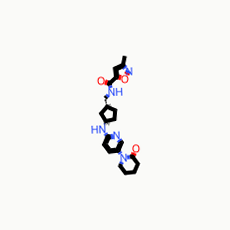 Cc1cc(C(=O)NC[C@@H]2CC[C@H](Nc3ccc(N4CCCCC4=O)cn3)C2)on1